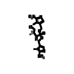 C[C@H](CCl)NP(=O)(OCc1cnc([N+](=O)[O-])n1C)OCc1cnc([N+](=O)[O-])n1C